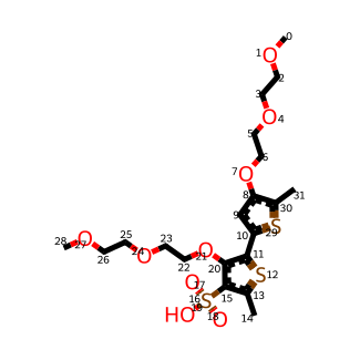 COCCOCCOc1cc(-c2sc(C)c(S(=O)(=O)O)c2OCCOCCOC)sc1C